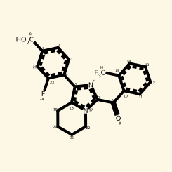 O=C(O)c1ccc(-c2nc(C(=O)c3ccccc3C(F)(F)F)n3c2CCCC3)c(F)c1